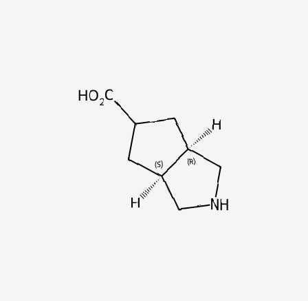 O=C(O)C1C[C@H]2CNC[C@H]2C1